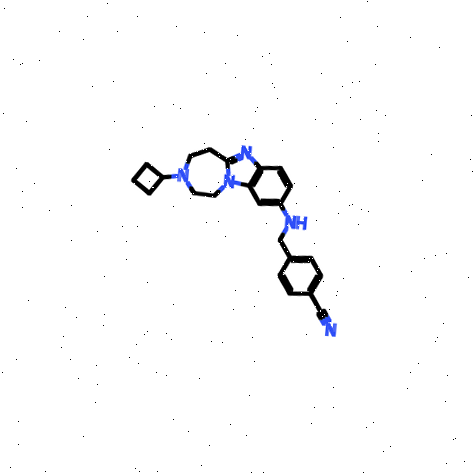 N#Cc1ccc(CNc2ccc3nc4n(c3c2)CCN(C2CCC2)CC4)cc1